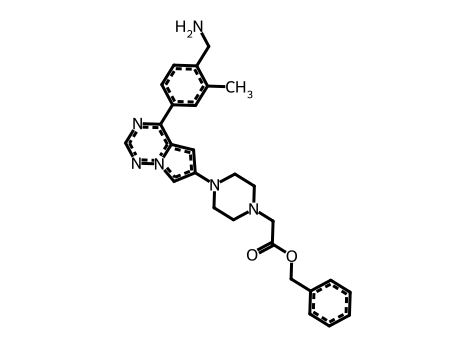 Cc1cc(-c2ncnn3cc(N4CCN(CC(=O)OCc5ccccc5)CC4)cc23)ccc1CN